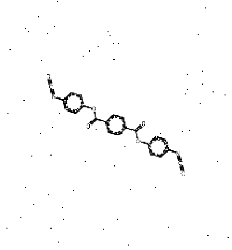 O=C=Nc1ccc(OC(=O)c2ccc(C(=O)Oc3ccc(N=C=O)cc3)cc2)cc1